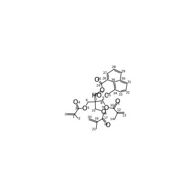 C=C(C)C(=O)OCC(COC(=O)C(=C)C)(COC(=O)C(=C)C)COC(=O)c1cccc2cccc(C(=O)O)c12